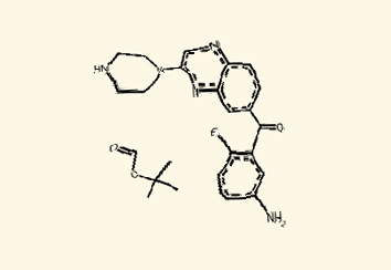 CC(C)(C)OC=O.Nc1ccc(F)c(C(=O)c2ccc3ncc(N4CCNCC4)nc3c2)c1